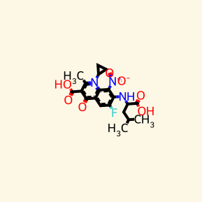 Cc1c(C(=O)O)c(=O)c2cc(F)c(NC(CC(C)C)C(=O)O)c([N+](=O)[O-])c2n1C1CC1